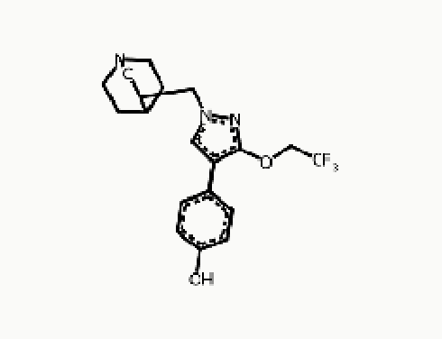 Oc1ccc(-c2cn(CC3CN4CCC3CC4)nc2OCC(F)(F)F)cc1